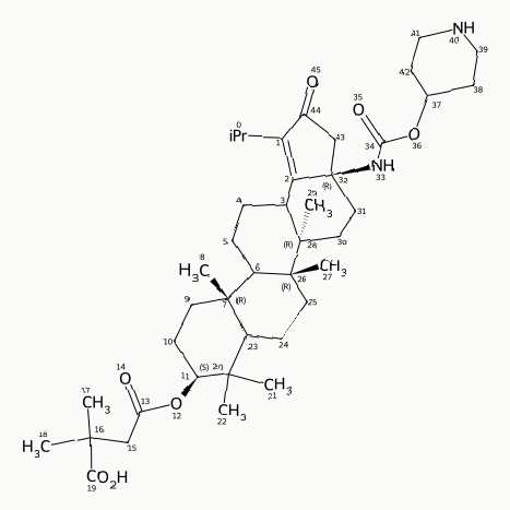 CC(C)C1=C2C3CCC4[C@@]5(C)CC[C@H](OC(=O)CC(C)(C)C(=O)O)C(C)(C)C5CC[C@@]4(C)[C@]3(C)CC[C@@]2(NC(=O)OC2CCNCC2)CC1=O